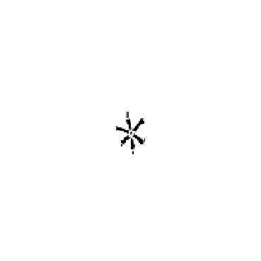 [I][Y]([I])([I])([I])([I])[I]